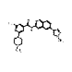 Cc1cc(C(=O)Nc2cc3cc(-c4cnn(C)c4)ccc3cn2)cc(N2CCN(C)CC2)n1